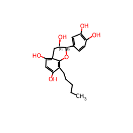 CCCCCc1c(O)cc(O)c2c1O[C@H](c1ccc(O)c(O)c1)[C@H](O)C2